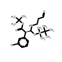 CC(C)(C)OC(=O)[C@H](c1cccc(Cl)c1)C(NCCC=O)O[Si](C)(C)C(C)(C)C